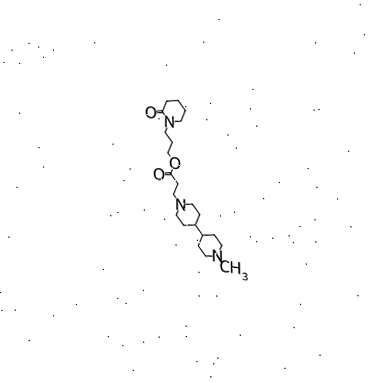 CN1CCC(C2CCN(CCC(=O)OCCCN3CCCCC3=O)CC2)CC1